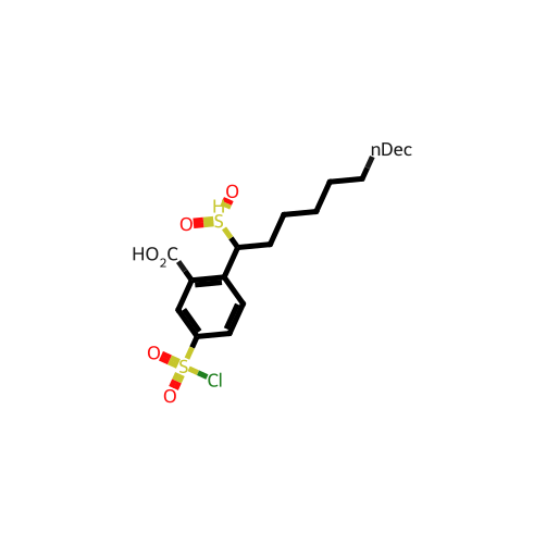 CCCCCCCCCCCCCCCC(c1ccc(S(=O)(=O)Cl)cc1C(=O)O)[SH](=O)=O